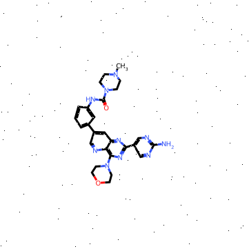 CN1CCN(C(=O)Nc2cccc(-c3cnc4c(N5CCOCC5)nc(-c5cnc(N)nc5)nc4c3)c2)CC1